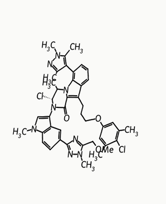 COCc1nc(-c2ccc3c(c2)c(N2C(=O)c4c(CCCOc5cc(C)c(Cl)c(C)c5)c5cccc(-c6c(C)nn(C)c6C)c5n4C(C)[C@H]2Cl)cn3C)nn1C